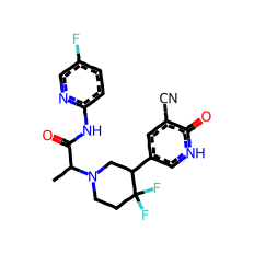 CC(C(=O)Nc1ccc(F)cn1)N1CCC(F)(F)C(c2c[nH]c(=O)c(C#N)c2)C1